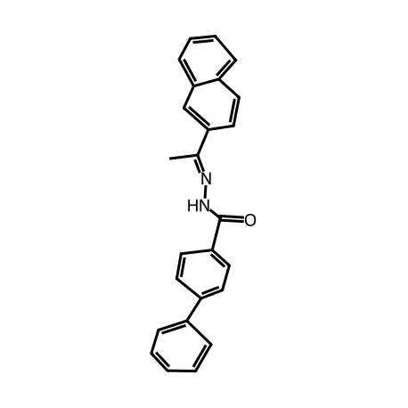 CC(=NNC(=O)c1ccc(-c2ccccc2)cc1)c1ccc2ccccc2c1